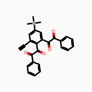 C#Cc1cc([Si](C)(C)C)cc(C(=O)C(=O)c2ccccc2)c1C(=O)C(=O)c1ccccc1